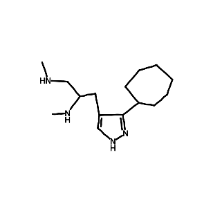 CNCC(Cc1c[nH]nc1C1CCCCCC1)NC